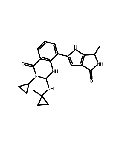 CC1NC(=O)c2cc(-c3cccc4c3NC(NC3(C)CC3)N(C3CC3)C4=O)[nH]c21